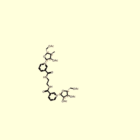 CC(=O)OC[C@H]1O[C@@H]([n+]2cccc(C(=O)NCCNC(=O)c3ccc[n+]([C@@H]4O[C@H](COC(C)=O)[C@@H](OC(C)=O)[C@H]4OC(C)=O)c3)c2)[C@H](OC(C)=O)[C@@H]1C